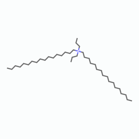 CCCCCCCCCCCCCCCCC[N+](CCC)(CCC)CCCCCCCCCCCCCCCCC